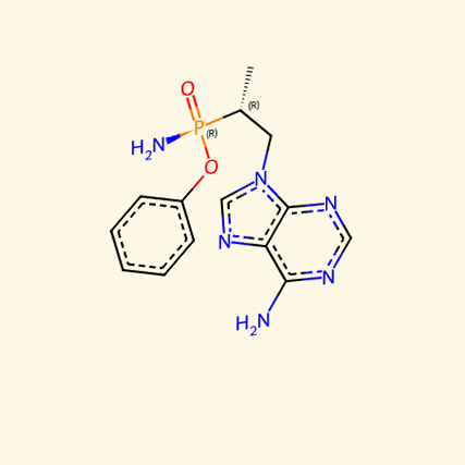 C[C@H](Cn1cnc2c(N)ncnc21)[P@@](N)(=O)Oc1ccccc1